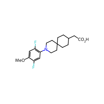 COc1cc(F)c(N2CCC3(CCC(CC(=O)O)CC3)CC2)cc1F